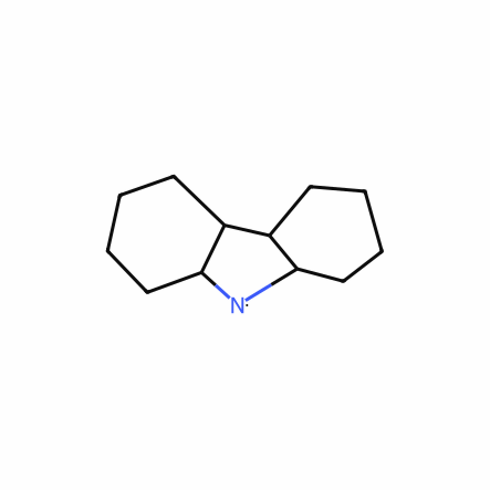 C1CCC2C(C1)[N]C1CCCCC12